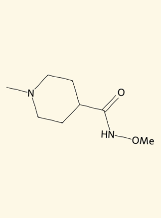 CONC(=O)C1CCN(C)CC1